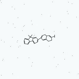 CC1(C)c2ccccc2-c2ccc(C3=CCC4C=C(I)CCC4=C3)cc21